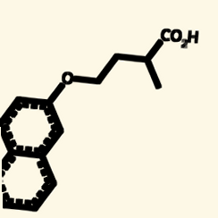 CC(CCOc1ccc2ccccc2c1)C(=O)O